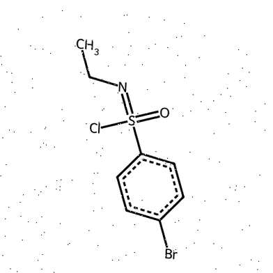 CCN=S(=O)(Cl)c1ccc(Br)cc1